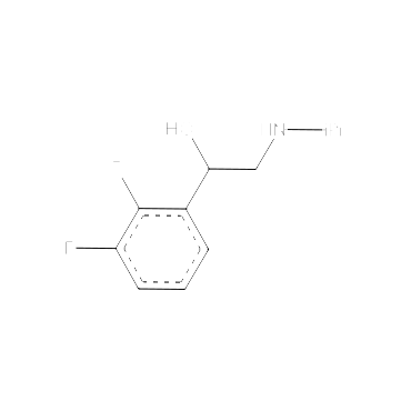 CC(C)NCC(O)c1cccc(F)c1F